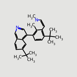 C=N/C=C\c1c(C(C)(C)C)ccc(-c2cncc3ccc(C(C)(C)C)cc23)c1C